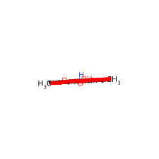 CCCCCCCCCCCCCCCCCCC(O)CNC(=O)CCCCCCCCCCC(=O)CCCCCCCCCCC